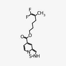 CC(CCCCOC(=O)C1=CC2=CNSN2C=C1)=C(F)F